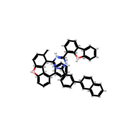 CC1C=Cc2oc3cccc(-c4ccccc4)c3c2C1c1nc(-c2cccc(-c3ccc4ccccc4c3)c2)nc(-c2cccc3c2oc2ccccc23)n1